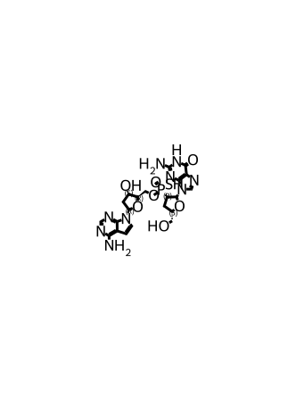 Nc1nc2c(ncn2C2O[C@H](CO)C[C@H]2P(=O)(S)OC[C@H]2O[C@@H](n3ccc4c(N)ncnc43)C[C@@H]2O)c(=O)[nH]1